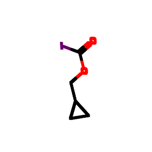 O=C(I)OCC1CC1